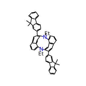 CCn1c2cc3c(cccc3n(CC)c3cc4c(cccc41)cc3-c1ccc3c(c1)C(C)(C)c1ccccc1-3)cc2-c1ccc2c(c1)C(C)(C)c1ccccc1-2